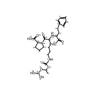 CC(OC(=O)NCCCCC(NC(CCc1ccccc1)C(=O)O)C(=O)N1CCCC1C(=O)O)ON(O)O